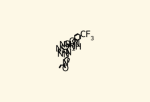 C=CC(=O)N1CC[C@@H](n2nc(C(=O)Nc3nc4cc(C(F)(F)F)ccc4o3)c3c(N)ncnc32)C1